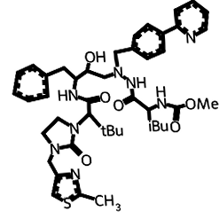 CCC(C)C(NC(=O)OC)C(=O)NN(Cc1ccc(-c2ccccn2)cc1)CC(O)C(Cc1ccccc1)NC(=O)C(N1CCN(Cc2csc(C)n2)C1=O)C(C)(C)C